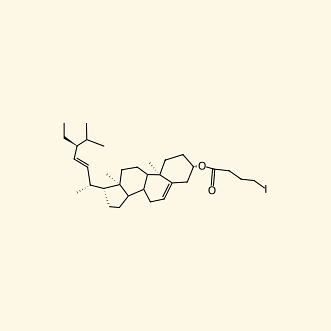 CC[C@H](/C=C/[C@@H](C)[C@H]1CCC2C3CC=C4C[C@@H](OC(=O)CCCI)CC[C@]4(C)C3CC[C@@]21C)C(C)C